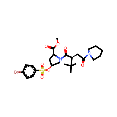 COC(=O)[C@@H]1C[C@H](OS(=O)(=O)c2ccc(Br)cc2)CN1C(=O)[C@@H](CC(=O)N1CCCCC1)C(C)(C)C